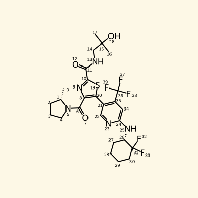 C[C@H]1CCCN1C(=O)c1nc(C(=O)NCC(C)(C)O)sc1-c1cnc(N[C@H]2CCCCC2(F)F)cc1C(F)(F)F